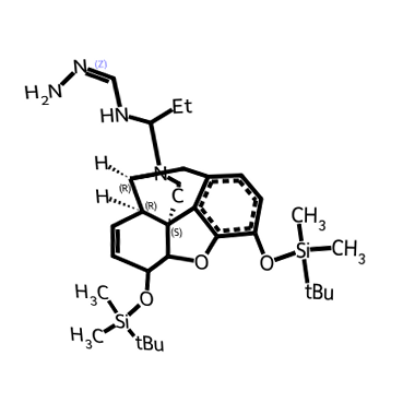 CCC(N/C=N\N)N1CC[C@]23c4c5ccc(O[Si](C)(C)C(C)(C)C)c4OC2C(O[Si](C)(C)C(C)(C)C)C=C[C@H]3[C@H]1C5